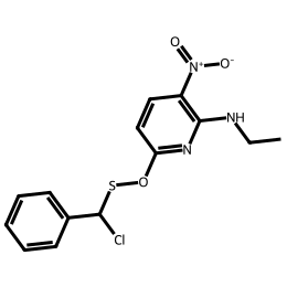 CCNc1nc(OSC(Cl)c2ccccc2)ccc1[N+](=O)[O-]